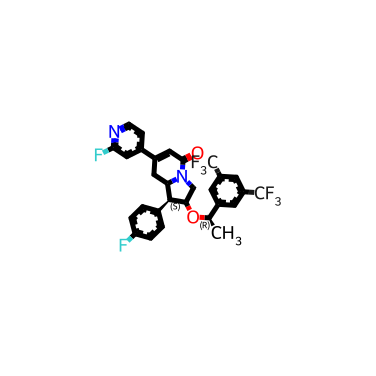 C[C@@H](OC1CN2C(=O)C=C(c3ccnc(F)c3)CC2[C@@H]1c1ccc(F)cc1)c1cc(C(F)(F)F)cc(C(F)(F)F)c1